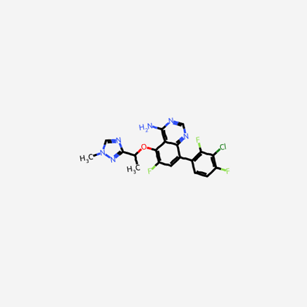 CC(Oc1c(F)cc(-c2ccc(F)c(Cl)c2F)c2ncnc(N)c12)c1ncn(C)n1